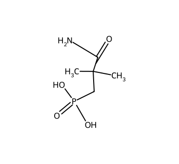 CC(C)(CP(=O)(O)O)C(N)=O